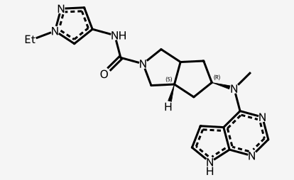 CCn1cc(NC(=O)N2CC3C[C@@H](N(C)c4ncnc5[nH]ccc45)C[C@@H]3C2)cn1